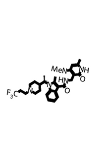 CNc1cc(C)[nH]c(=O)c1CNC(=O)c1c(C)n([C@H](C)C2CCN(CCC(F)(F)F)CC2)c2ccccc12